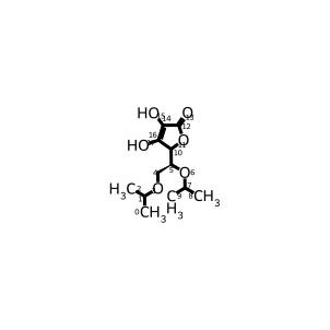 CC(C)OC[C@H](OC(C)C)C1OC(=O)C(O)=C1O